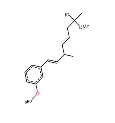 CCCCOc1cccc(C=CC(C)CCCC(C)(CC)OC)c1